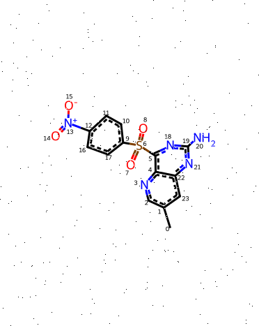 Cc1cnc2c(S(=O)(=O)c3ccc([N+](=O)[O-])cc3)nc(N)nc2c1